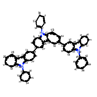 C1=CC(n2c3ccc(-c4ccc5c(c4)c4ccccc4n5-c4ccccc4)cc3c3cc(-c4ccc5c(c4)c4ccccc4n5-c4ccccc4)ccc32)=CCC1